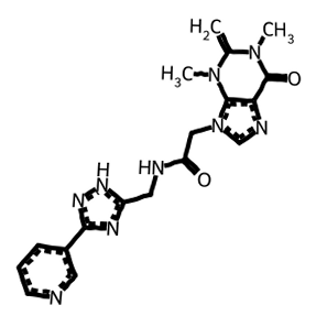 C=C1N(C)C(=O)c2ncn(CC(=O)NCc3nc(-c4cccnc4)n[nH]3)c2N1C